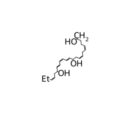 C=C(O)CC/C=C\C/C=C\C[C@H](O)/C=C/C=C\C=C\[C@@H](O)C/C=C\CC